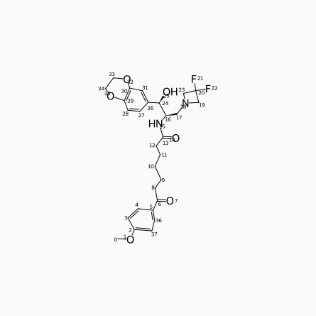 COc1ccc(C(=O)CCCCCC(=O)N[C@H](CN2CC(F)(F)C2)[C@H](O)c2ccc3c(c2)OCCO3)cc1